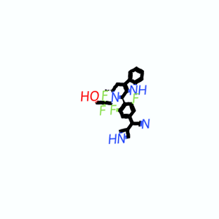 C[C@@H]1Cc2c([nH]c3ccccc23)[C@@H](c2c(F)cc(C(C#N)C3CNC3)cc2F)N1CC(F)(F)CO